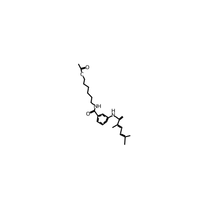 C=C(Nc1cccc(C(=O)NCCCCCCCC(C)=O)c1)/C(C)=C/C=C(C)C